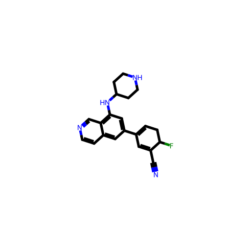 N#CC1=CC(c2cc(NC3CCNCC3)c3cnccc3c2)=CCC1F